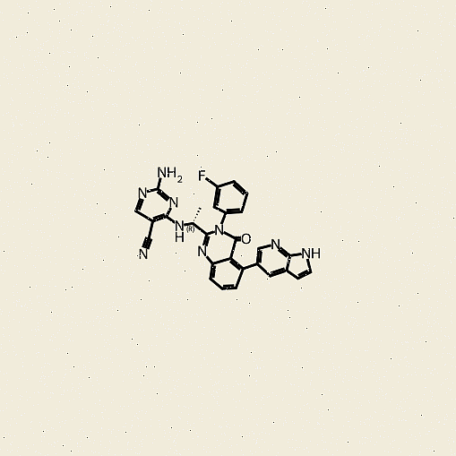 C[C@@H](Nc1nc(N)ncc1C#N)c1nc2cccc(-c3cnc4[nH]ccc4c3)c2c(=O)n1-c1cccc(F)c1